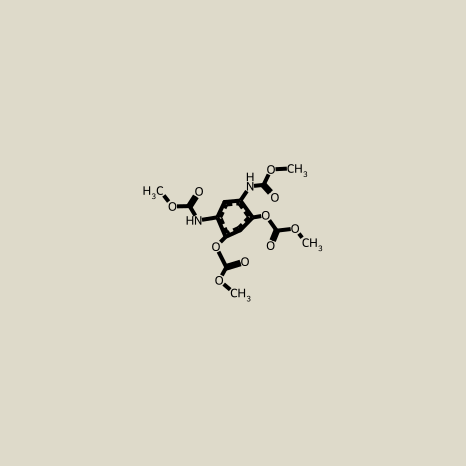 COC(=O)Nc1cc(NC(=O)OC)c(OC(=O)OC)cc1OC(=O)OC